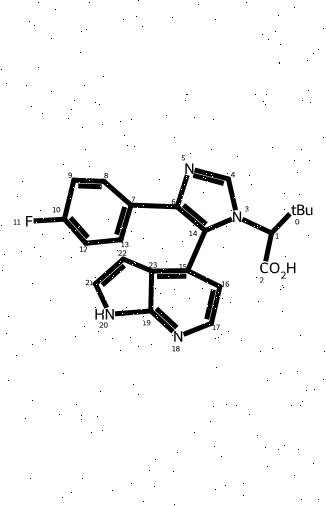 CC(C)(C)C(C(=O)O)n1cnc(-c2ccc(F)cc2)c1-c1ccnc2[nH]ccc12